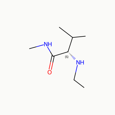 CCN[C@H](C(=O)NC)C(C)C